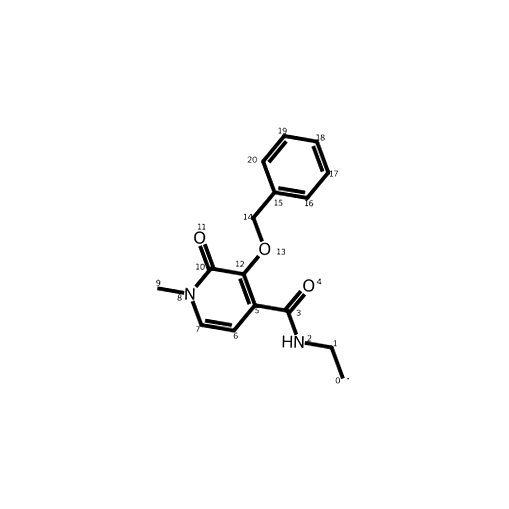 [CH2]CNC(=O)c1ccn(C)c(=O)c1OCc1ccccc1